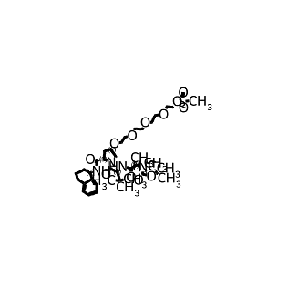 C[C@@H](C(=O)N[C@H](C(=O)N1C[C@@H](OCCOCCOCCOCCOS(C)(=O)=O)C[C@H]1C(=O)N[C@@H]1CCCc2ccccc21)C(C)(C)C)N(C)C(=O)OC(C)(C)C